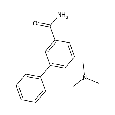 CN(C)C.NC(=O)c1cccc(-c2ccccc2)c1